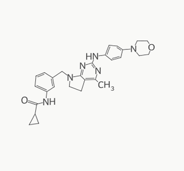 Cc1nc(Nc2ccc(N3CCOCC3)cc2)nc2c1CCN2Cc1cccc(NC(=O)C2CC2)c1